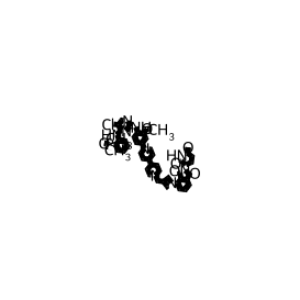 COc1cc(N2CCC(C3CCN(CC4CN(c5cccc6c5C(=O)N(C5CCC(=O)NC5=O)C6=O)C4)CC3)CC2)ccc1Nc1ncc(Cl)c(Nc2ccccc2P(C)(C)=O)n1